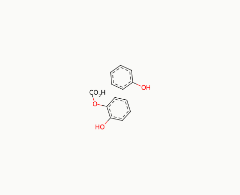 O=C(O)Oc1ccccc1O.Oc1ccccc1